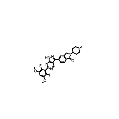 COc1cc(OC)c(F)c(-c2ncc3c(-c4ccc5c(c4)CN(C4CCN(C)CC4)C5=O)n[nH]c3n2)c1F